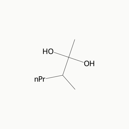 CCCC(C)C(C)(O)O